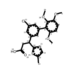 COc1ccc(OC)c(-c2cc(Cl)cc(C(CC(=O)O)c3ncc(C)s3)c2)c1OC